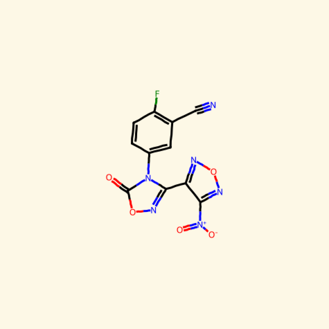 N#Cc1cc(-n2c(-c3nonc3[N+](=O)[O-])noc2=O)ccc1F